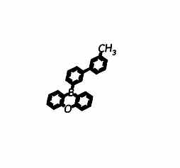 Cc1cccc(-c2cccc(B3c4ccccc4Oc4ccccc43)c2)c1